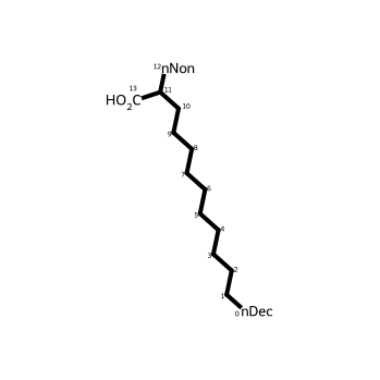 CCCCCCCCCCCCCCCCCCCCC(CCCCCCCCC)C(=O)O